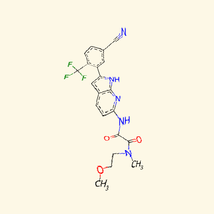 COCCN(C)C(=O)C(=O)Nc1ccc2cc(-c3cc(C#N)ccc3C(F)(F)F)[nH]c2n1